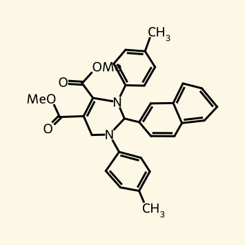 COC(=O)C1=C(C(=O)OC)N(c2ccc(C)cc2)C(c2ccc3ccccc3c2)N(c2ccc(C)cc2)C1